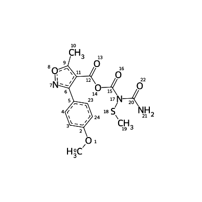 COc1ccc(-c2noc(C)c2C(=O)OC(=O)N(SC)C(N)=O)cc1